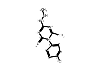 CNNc1nc(C)n(-c2ccc(Cl)cc2)c(=O)n1